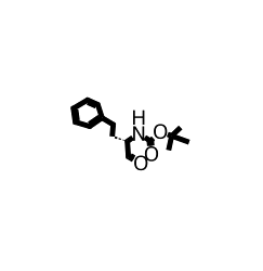 CC(C)(C)OC(=O)N[C@H](C=O)CCc1ccccc1